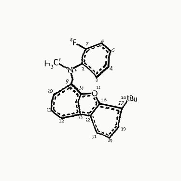 CN(c1ccccc1F)c1cccc2c1oc1c(C(C)(C)C)cccc12